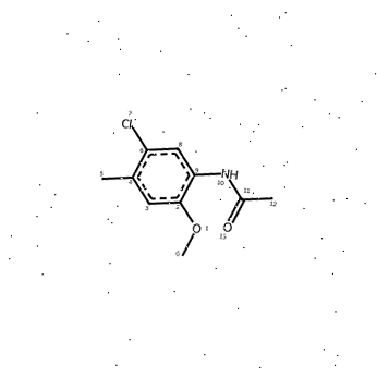 COc1cc(C)c(Cl)cc1NC(C)=O